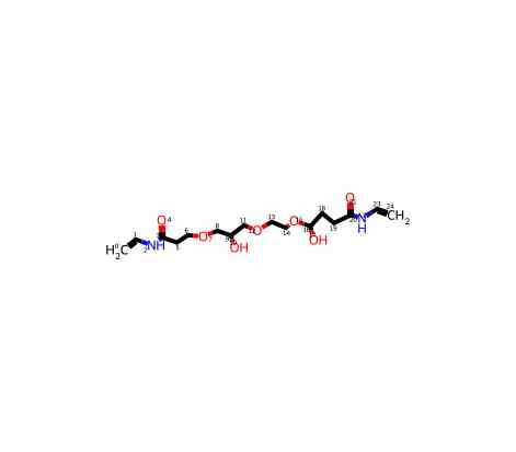 C=CNC(=O)CCOCC(O)COCCOC(O)CCC(=O)NC=C